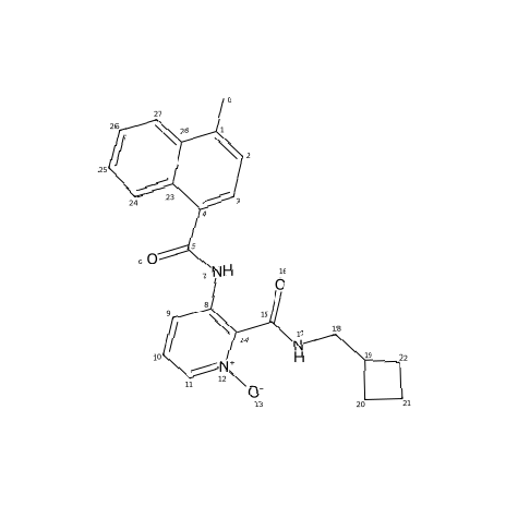 Cc1ccc(C(=O)Nc2ccc[n+]([O-])c2C(=O)NCC2CCC2)c2ccccc12